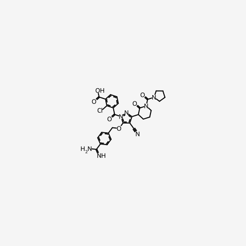 N#Cc1c(C2CCCN(C(=O)N3CCCC3)C2=O)nn(C(=O)c2cccc(C(=O)O)c2Cl)c1OCc1ccc(C(=N)N)cc1